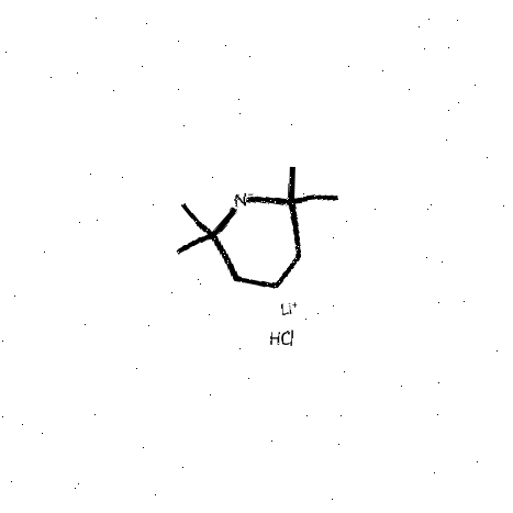 CC1(C)CCCC(C)(C)[N-]1.Cl.[Li+]